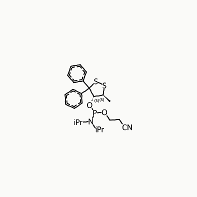 CC(C)N(C(C)C)P(OCCC#N)O[C@H]1[C@H](C)SSC1(c1ccccc1)c1ccccc1